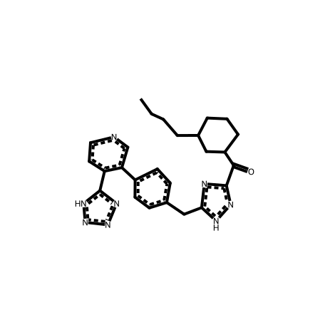 CCCCC1CCCC(C(=O)c2n[nH]c(Cc3ccc(-c4cnccc4-c4nnn[nH]4)cc3)n2)C1